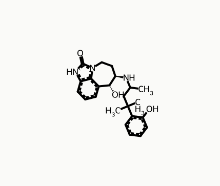 CC(CC(C)(C)c1ccccc1O)N[C@@H]1CCn2c(=O)[nH]c3cccc(c32)[C@H]1O